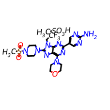 CS(=O)(=O)N1CCN(c2nc3c(N4CCOCC4)nc(-c4cnc(N)nc4)nc3n2CC(F)(F)F)CC1.CS(=O)(=O)O